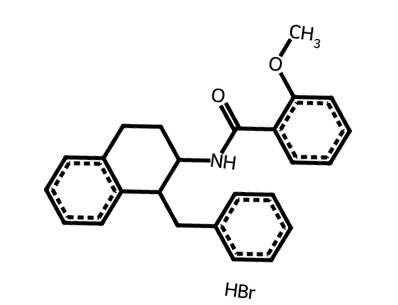 Br.COc1ccccc1C(=O)NC1CCc2ccccc2C1Cc1ccccc1